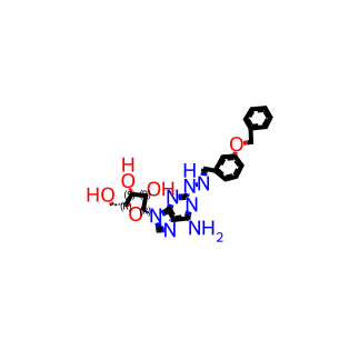 Nc1nc(NN=Cc2cccc(OCc3ccccc3)c2)nc2c1ncn2[C@@H]1O[C@H](CO)[C@@H](O)[C@H]1O